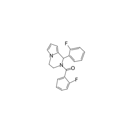 O=C(c1ccccc1F)N1CCn2cccc2C1c1ccccc1F